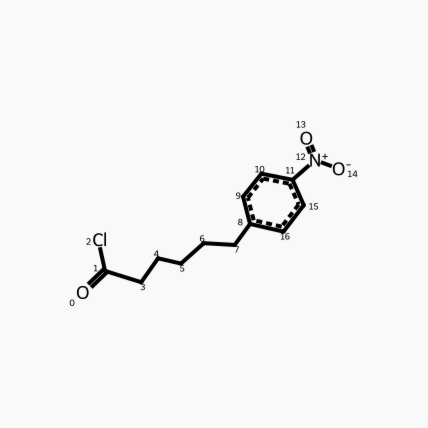 O=C(Cl)CCCCCc1ccc([N+](=O)[O-])cc1